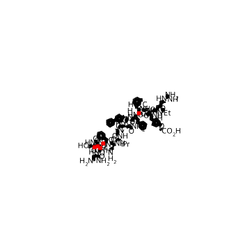 CCC(=O)NC(CCCCNC(=N)N)C(=O)NC(Cc1ccc(OCC(=O)O)cc1)C(=O)N[C@@H](CC(=O)O)C(=O)N[C@@H](Cc1cccc(C)c1)C(=O)NC(CCc1ccccc1)C(=O)N[C@@H](Cc1ccc(-c2ccccc2)cc1)C(=O)N[C@@H](CCC(N)=O)C(=O)N(C)[C@@H](C)C(=O)N[C@H](CC(C)C)C(=O)N[C@@H](CCN)C(=O)NC(CC1CCCCC1)C(=O)NC(C(=O)NC(CO)C(=O)N[C@@H](CC)C(=O)NC(CCN)C(N)=O)C(C)(C)O